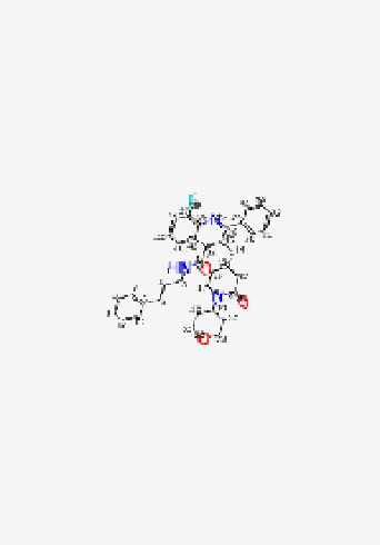 O=C(NCCCc1ccccc1)c1c(C[C@H]2CCN(C3CCOCC3)C(=O)C2)c(-c2ccccc2)nc2c(F)cccc12